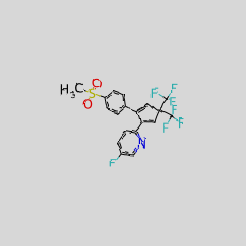 CS(=O)(=O)c1ccc(C2=CC(C(F)(F)F)(C(F)(F)F)C=C2c2ccc(F)cn2)cc1